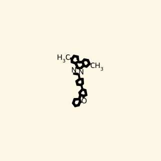 Cc1ccc2c3ccc(C)cc3c3nc(-c4ccc(-c5ccc6oc7ccccc7c6c5)cc4)cnc3c2c1